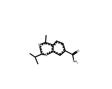 Cc1nc(C(C)C)nc2cc(C(N)=O)ccc12